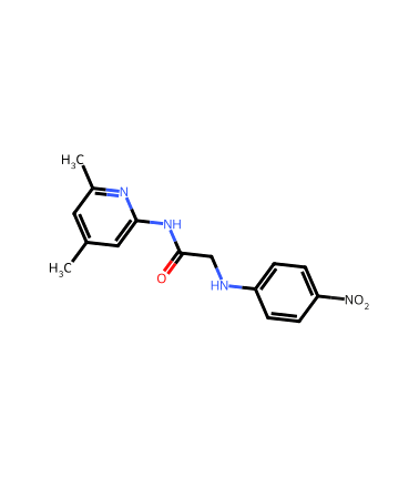 Cc1cc(C)nc(NC(=O)CNc2ccc([N+](=O)[O-])cc2)c1